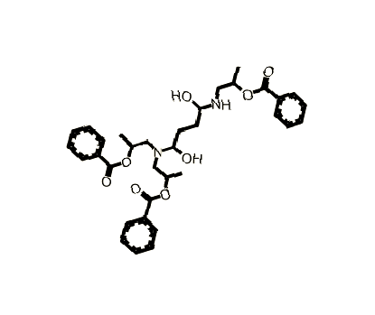 CC(CNC(O)CCC(O)N(CC(C)OC(=O)c1ccccc1)CC(C)OC(=O)c1ccccc1)OC(=O)c1ccccc1